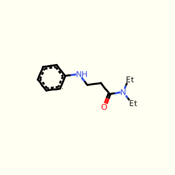 CCN(CC)C(=O)CCNc1[c]cccc1